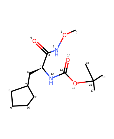 CONC(=O)[C@H](CC1CCCC1)NC(=O)OC(C)(C)C